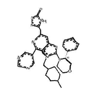 CC1CCC(Cn2c(N3CCOC[C@H]3c3ccccc3)nc3cc(-c4noc(=O)[nH]4)nc(-c4cncnc4)c32)CC1